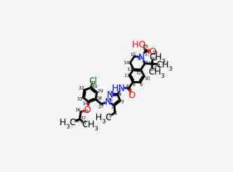 CCc1cc(NC(=O)c2ccc3c(c2)CCN(C(=O)O)C3C(C)(C)C)nn1Cc1cc(Cl)ccc1OCC(C)C